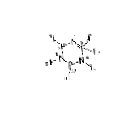 IN1P(I)N=P(I)(I)N(I)P1I